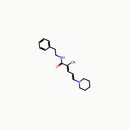 N#C/C(=C\C=C\N1CCCCC1)C(=O)NCCc1ccccc1